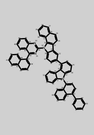 c1ccc(-c2ccc(-n3c4ccccc4c4c(-c5ccc6c(c5)c5ccc7ccccc7c5n6-c5nc(-c6cccc7ccccc67)c6ccccc6n5)cccc43)c3ccccc23)cc1